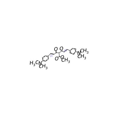 COC(=O)C(C(=O)/C=C/c1ccc(N(C)C)cc1)C(=O)/C=C/c1ccc(N(C)C)cc1